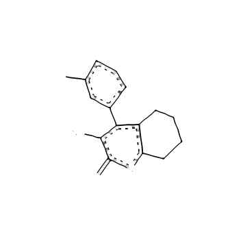 N#Cc1c(-c2cccc(F)c2)c2c([nH]c1=O)CCCC2